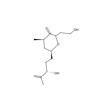 C=C1C(CCO)O[C@@H](CC[C@H](O)C(=C)C)C[C@H]1C